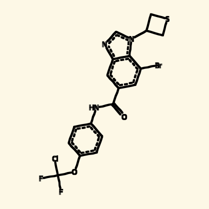 O=C(Nc1ccc(OC(F)(F)Cl)cc1)c1cc(Br)c2c(c1)ncn2C1CSC1